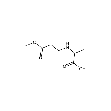 COC(=O)CCNC(C)C(=O)O